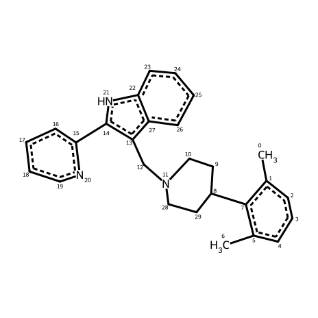 Cc1cccc(C)c1C1CCN(Cc2c(-c3ccccn3)[nH]c3ccccc23)CC1